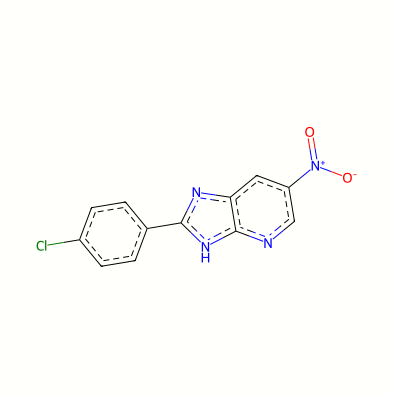 O=[N+]([O-])c1cnc2[nH]c(-c3ccc(Cl)cc3)nc2c1